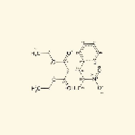 CCOC(=O)C(C(=O)OCC)[C@H](c1ccccc1)C(C)[N+](=O)[O-]